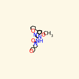 COc1ccc(C2CCC=CO2)c2ncc(NC(=O)N3CCC4(CCOCC4)C3)nc12